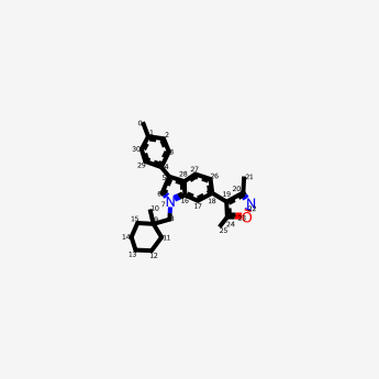 Cc1ccc(-c2cn(CC3(C)CCCCC3)c3cc(-c4c(C)noc4C)ccc23)cc1